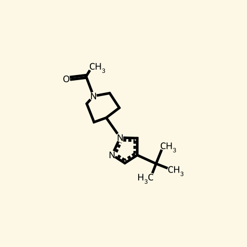 CC(=O)N1CCC(n2cc(C(C)(C)C)cn2)CC1